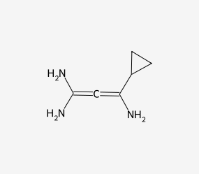 NC(N)=C=C(N)C1CC1